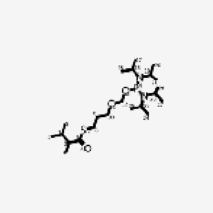 CC(C)C(C)C(=O)SCCCOCOP(N(C(C)C)C(C)C)N(C(C)C)C(C)C